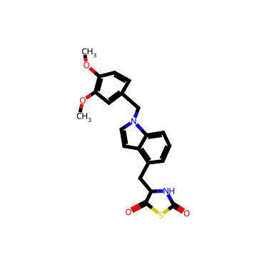 COc1ccc(Cn2ccc3c(CC4NC(=O)SC4=O)cccc32)cc1OC